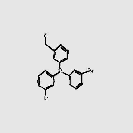 BrCc1cccc(N(c2cccc(Br)c2)c2cccc(Br)c2)c1